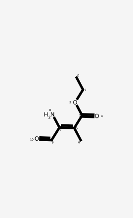 CCOC(=O)C(C)=C(N)C=O